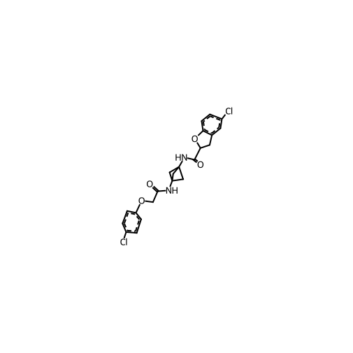 O=C(COc1ccc(Cl)cc1)NC12CC(NC(=O)C3Cc4cc(Cl)ccc4O3)(C1)C2